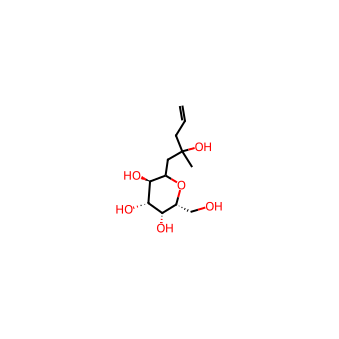 C=CCC(C)(O)CC1O[C@H](CO)[C@H](O)[C@H](O)[C@H]1O